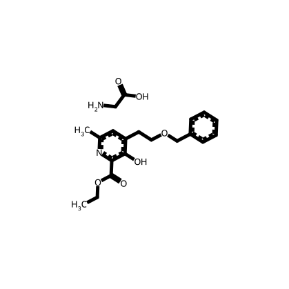 CCOC(=O)c1nc(C)cc(CCOCc2ccccc2)c1O.NCC(=O)O